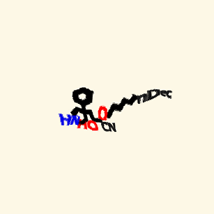 CCCCCCCCCCCCCCCCOC(C#N)C(O)CC1(c2ccccc2)CCNCC1